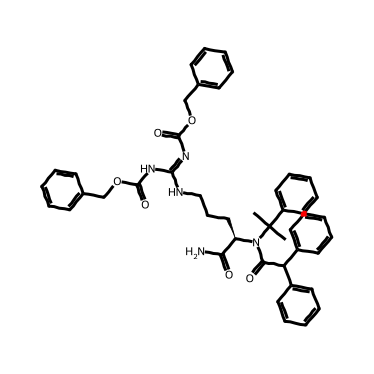 CC(C)(c1ccccc1)N(C(=O)C(c1ccccc1)c1ccccc1)[C@H](CCCNC(=NC(=O)OCc1ccccc1)NC(=O)OCc1ccccc1)C(N)=O